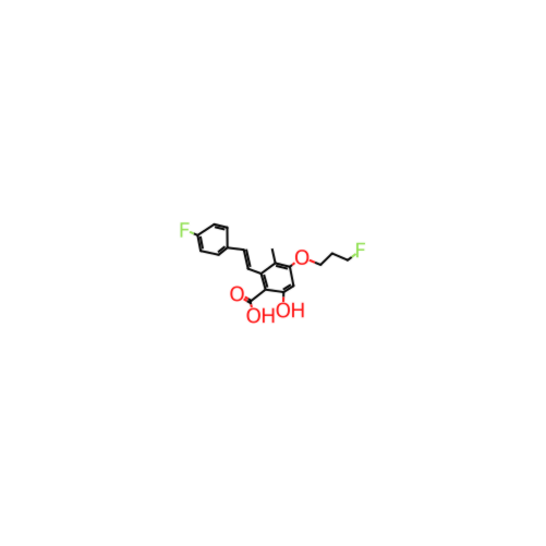 Cc1c(OCCCF)cc(O)c(C(=O)O)c1C=Cc1ccc(F)cc1